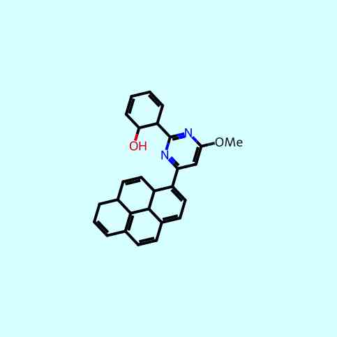 COc1cc(C2=CC=C3C=CC4=C5C(C=CC2C35)CC=C4)nc(C2C=CC=CC2O)n1